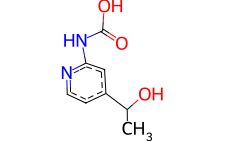 CC(O)c1ccnc(NC(=O)O)c1